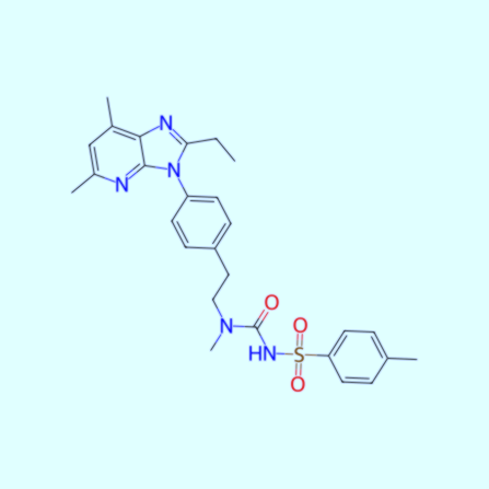 CCc1nc2c(C)cc(C)nc2n1-c1ccc(CCN(C)C(=O)NS(=O)(=O)c2ccc(C)cc2)cc1